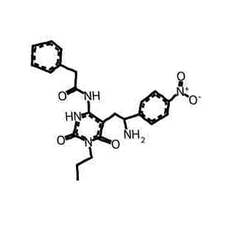 CCCn1c(=O)[nH]c(NC(=O)Cc2ccccc2)c(CC(N)c2ccc([N+](=O)[O-])cc2)c1=O